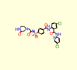 CS(=O)(=NC(=O)CN1CCNC(=O)C1)c1ccc(C(=O)Nc2ccc(Cl)cc2C(=O)Nc2ccc(Cl)cn2)cc1